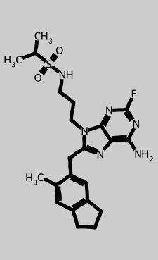 Cc1cc2c(cc1Cc1nc3c(N)nc(F)nc3n1CCCNS(=O)(=O)C(C)C)CCC2